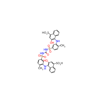 Cc1ccc(S(=O)(=O)NC(=O)NS(=O)(=O)c2ccc(C)c(Nc3c(O)cc(S(=O)(=O)O)c4ccccc34)c2)cc1Nc1c(O)cc(S(=O)(=O)O)c2ccccc12